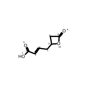 O=C(O)C=CCC1CC(=O)O1